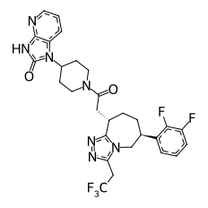 O=C(C[C@@H]1CC[C@@H](c2cccc(F)c2F)Cn2c(CC(F)(F)F)nnc21)N1CCC(n2c(=O)[nH]c3ncccc32)CC1